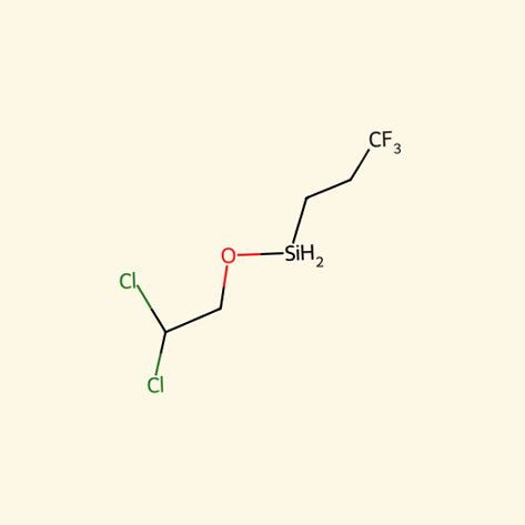 FC(F)(F)CC[SiH2]OCC(Cl)Cl